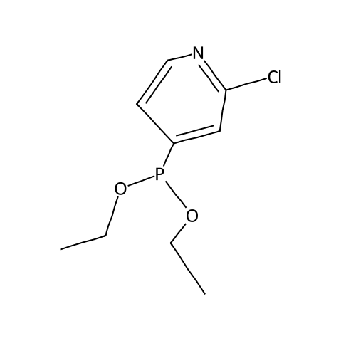 CCOP(OCC)c1ccnc(Cl)c1